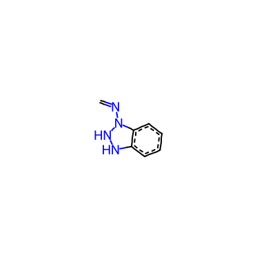 C=NN1NNc2ccccc21